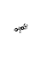 CCN1C(=O)OCc2cc3[nH]c(-c4ccncc4)nc3cc21